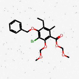 CCc1c(C)c(C(=O)OCOC)c(OCOC)c(Br)c1OCc1ccccc1